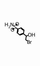 NS(=O)(=O)c1ccc(C(O)CBr)cc1